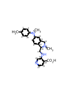 Cc1ccc(N(C)c2ccc3c(c2)CN(C)C3CNc2cnccc2C(=O)O)cc1